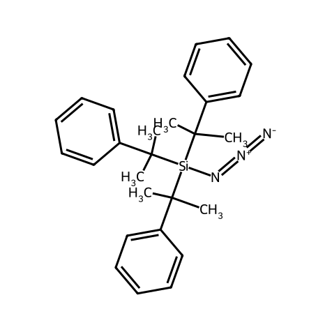 CC(C)(c1ccccc1)[Si](N=[N+]=[N-])(C(C)(C)c1ccccc1)C(C)(C)c1ccccc1